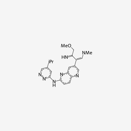 CN/C=C(\C(=N)COC)c1cnc2ccc(Nc3cc(C(C)C)cnn3)nc2c1